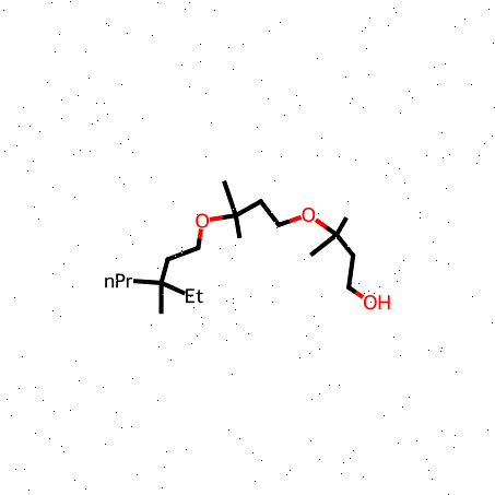 CCCC(C)(CC)CCOC(C)(C)CCOC(C)(C)CCO